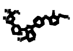 COc1cccc(Oc2ccc(-c3nn(C4CN(C(=O)OC(C)(C)C)CCN4)c4c(C)cncc34)cc2)c1F